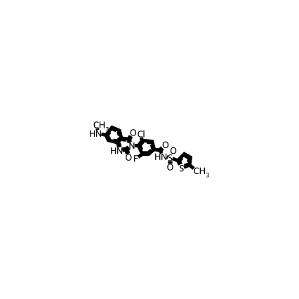 CNc1ccc2c(=O)n(-c3c(F)cc(C(=O)NS(=O)(=O)c4ccc(C)s4)cc3Cl)c(=O)[nH]c2c1